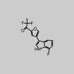 CC(F)(F)C(=O)c1cc(-c2c[nH]c3c(F)cccc23)co1